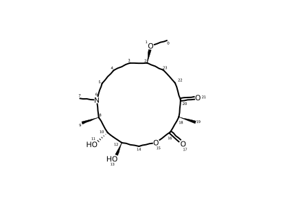 CO[C@@H]1CCCN(C)[C@H](C)[C@@H](O)[C@H](O)COC(=O)[C@H](C)C(=O)CC1